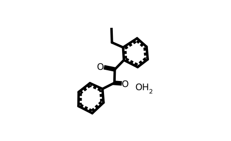 CCc1ccccc1C(=O)C(=O)c1ccccc1.O